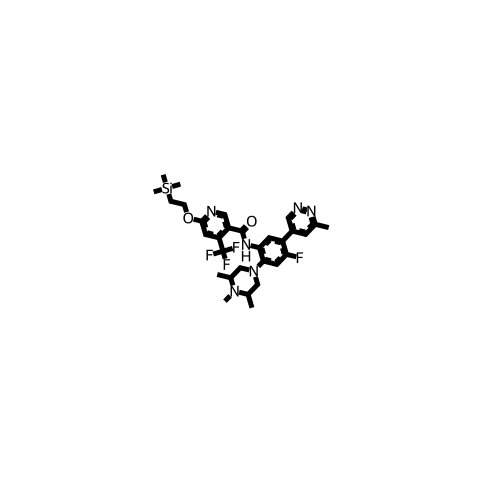 Cc1cc(-c2cc(NC(=O)c3cnc(OCC[Si](C)(C)C)cc3C(F)(F)F)c(N3CC(C)N(C)C(C)C3)cc2F)cnn1